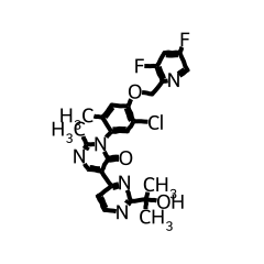 Cc1cc(OCc2ncc(F)cc2F)c(Cl)cc1-n1c(C)ncc(-c2ccnc(C(C)(C)O)n2)c1=O